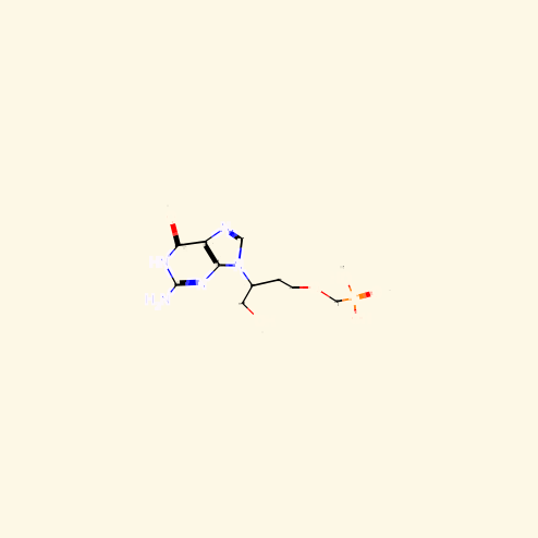 Nc1nc2c(ncn2C(CO)CCOCP(=O)(O)O)c(=O)[nH]1